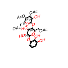 CC(=O)OC[C@H]1O[C@@H](O[C@H]2[C@H](O)[C@@H](O)[C@H](Oc3cccc(O)c3O)O[C@@H]2COC(C)=O)[C@H](O)[C@@H](OC(C)=O)[C@H]1OC(C)=O